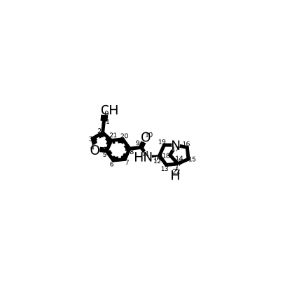 C#Cc1coc2ccc(C(=O)N[C@@H]3C[C@@H]4CCN(C4)C3)cc12